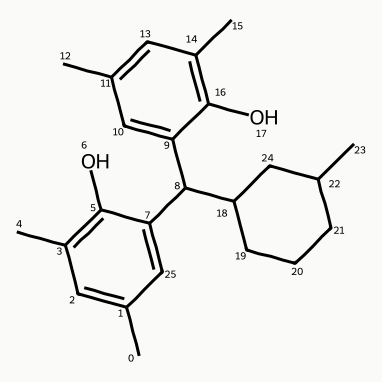 Cc1cc(C)c(O)c(C(c2cc(C)cc(C)c2O)C2CCCC(C)C2)c1